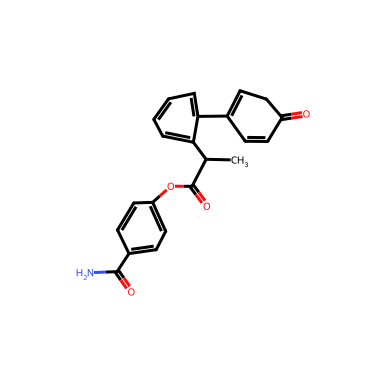 CC(C(=O)Oc1ccc(C(N)=O)cc1)c1ccccc1C1=CCC(=O)C=C1